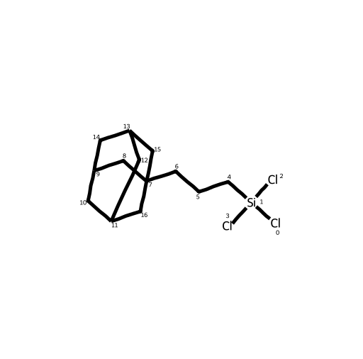 Cl[Si](Cl)(Cl)CCCC12CC3CC(CC(C3)C1)C2